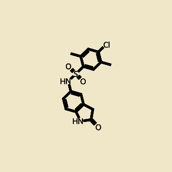 Cc1cc(S(=O)(=O)Nc2ccc3c(c2)CC(=O)N3)c(C)cc1Cl